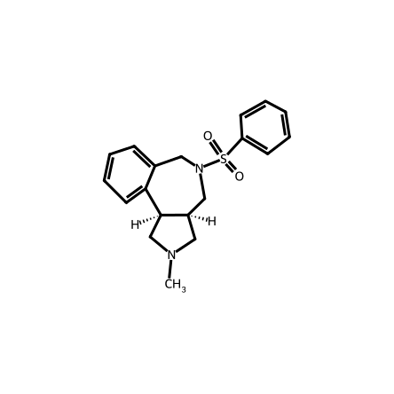 CN1C[C@@H]2CN(S(=O)(=O)c3ccccc3)Cc3ccccc3[C@@H]2C1